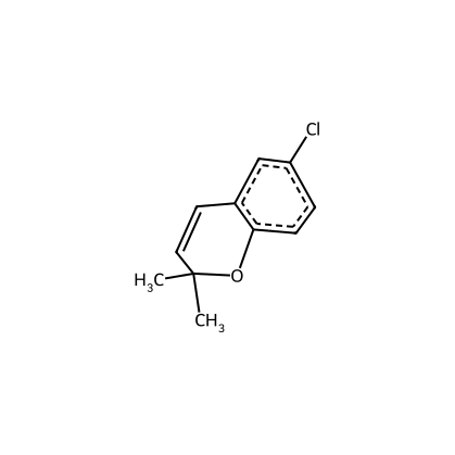 CC1(C)C=Cc2cc(Cl)ccc2O1